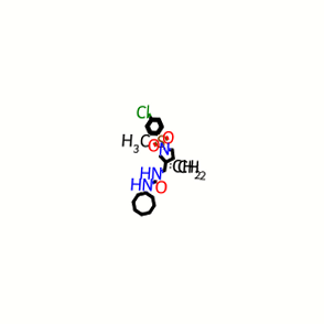 Cc1cc(Cl)ccc1S(=O)(=O)N1CCC(CNC(=O)N[C]2CCCCCCC2)C1.[CH2].[CH2]